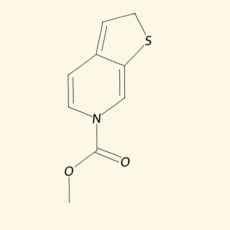 COC(=O)N1C=CC2=CCSC2=C1